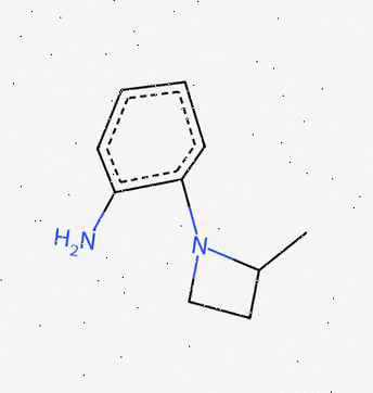 CC1CCN1c1ccccc1N